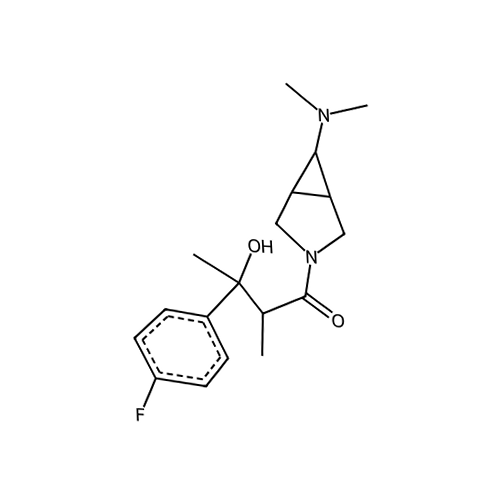 CC(C(=O)N1CC2C(C1)C2N(C)C)C(C)(O)c1ccc(F)cc1